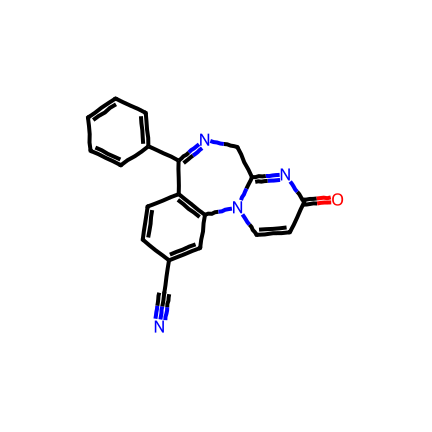 N#Cc1ccc2c(c1)-n1ccc(=O)nc1CN=C2c1ccccc1